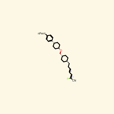 CCCCCc1ccc([C@H]2CC[C@H](OC[C@H]3CC[C@H](CC/C=C/C=C(\F)C#N)CC3)CC2)cc1